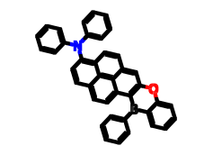 c1ccc(B2c3ccccc3Oc3cc4ccc5c(N(c6ccccc6)c6ccccc6)ccc6ccc(c32)c4c65)cc1